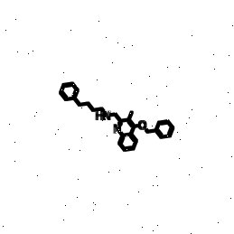 Cc1c(CNCCCCc2ccccc2)nc2ccccc2c1OCc1ccccc1